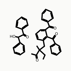 CCC(C)(Cc1cccc(C(=O)c2ccccc2)c1C(=O)c1ccccc1)C(C)=O.O=C(c1ccccc1)C(O)c1ccccc1